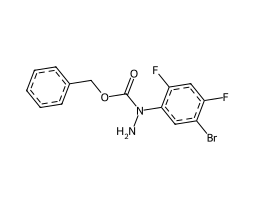 NN(C(=O)OCc1ccccc1)c1cc(Br)c(F)cc1F